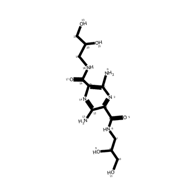 Nc1nc(C(=O)NCC(O)CO)c(N)nc1C(=O)NCC(O)CO